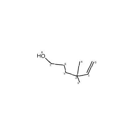 C=CC(C)(C)CCCO